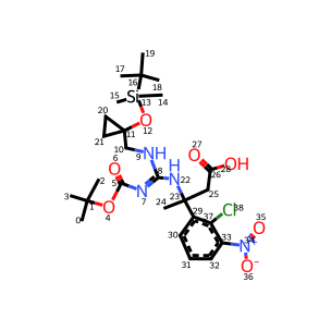 CC(C)(C)OC(=O)N=C(NCC1(O[Si](C)(C)C(C)(C)C)CC1)NC(C)(CC(=O)O)c1cccc([N+](=O)[O-])c1Cl